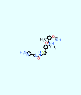 Cc1ccc(OC2CNC2)cc1C(=O)NC(C)c1cccc(-c2ccc(CNC(=O)N3CC(c4ccc(N)nc4)C3)s2)c1